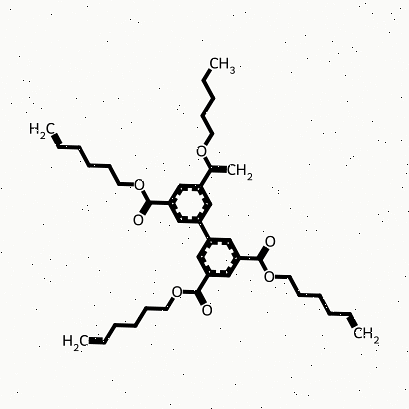 C=CCCCCOC(=O)c1cc(C(=C)OCCCCC)cc(-c2cc(C(=O)OCCCCC=C)cc(C(=O)OCCCCC=C)c2)c1